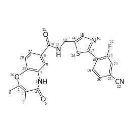 CC1=C(C)C(=O)Nc2cc(C(=O)NCc3cnc(-c4ccc(C#N)cc4F)s3)ccc2O1